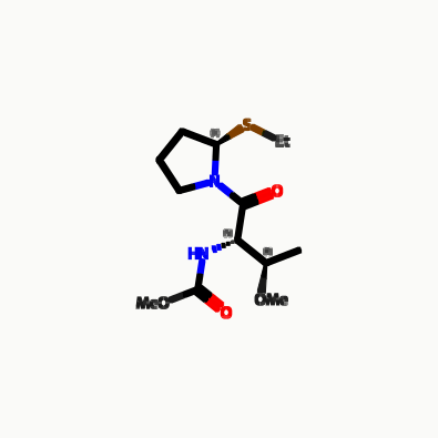 CCS[C@@H]1CCCN1C(=O)[C@@H](NC(=O)OC)[C@@H](C)OC